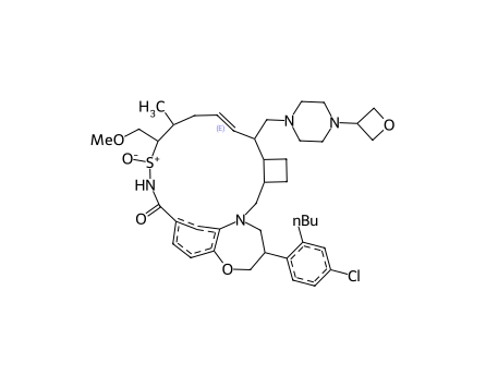 CCCCc1cc(Cl)ccc1C1COc2ccc3cc2N(C1)CC1CCC1C(CN1CCN(C2COC2)CC1)/C=C/CC(C)C(COC)[S+]([O-])NC3=O